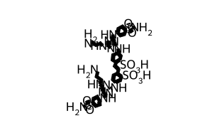 NCCCNc1nc(Nc2ccc(S(N)(=O)=O)cc2)nc(Nc2ccc(/C=C/c3ccc(Nc4nc(NCCCN)nc(Nc5ccc(S(N)(=O)=O)cc5)n4)cc3S(=O)(=O)O)c(S(=O)(=O)O)c2)n1